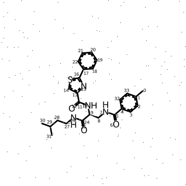 Cc1ccc(C(=O)NC[C@H](NC(=O)c2csc(-c3ccccc3)n2)C(=O)N[CH]CC(C)C)cc1